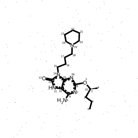 CCC[C@H](C)Oc1nc(N)c2[nH]c(=O)n(CCCCN3CCCCC3)c2n1